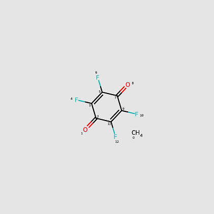 C.O=C1C(F)=C(F)C(=O)C(F)=C1F